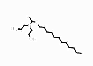 CCCCCCCCCCCCSC(C)N(CCO)CCO